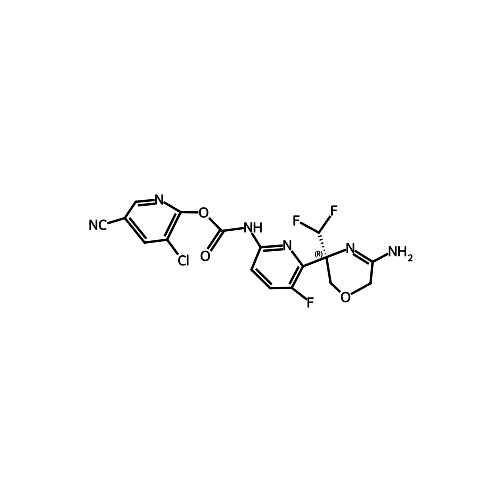 N#Cc1cnc(OC(=O)Nc2ccc(F)c([C@]3(C(F)F)COCC(N)=N3)n2)c(Cl)c1